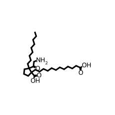 CCCCCCCCCC1(C(=O)CN)CCCC1(CCCCCCCCCCCC(=O)O)C(=O)O